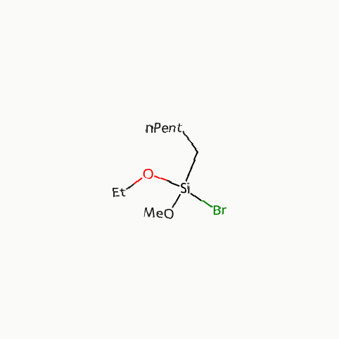 CCCCCC[Si](Br)(OC)OCC